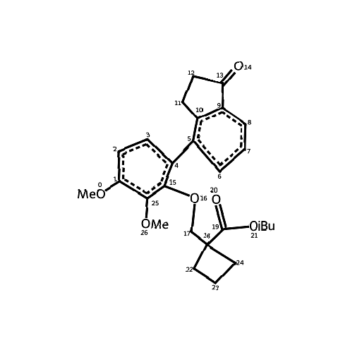 COc1ccc(-c2cccc3c2CCC3=O)c(OCC2(C(=O)OCC(C)C)CCC2)c1OC